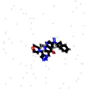 CCn1cc(Cn2nncc2CN2CCOCC2)c(=O)c2cc(NC3Cc4ccccc4C3)cnc21